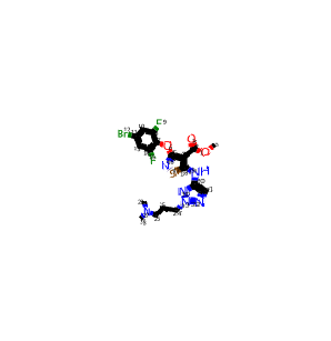 COC(=O)c1c(Oc2c(F)cc(Br)cc2F)nsc1Nc1cnn(CCCN(C)C)n1